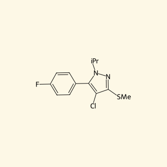 CSc1nn(C(C)C)c(-c2ccc(F)cc2)c1Cl